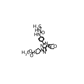 CCNC(=O)Nc1ccc(-c2nc(N3C4CCC3COC4)c3cnn(C4CCN(C(=O)OC)CC4)c3n2)cc1